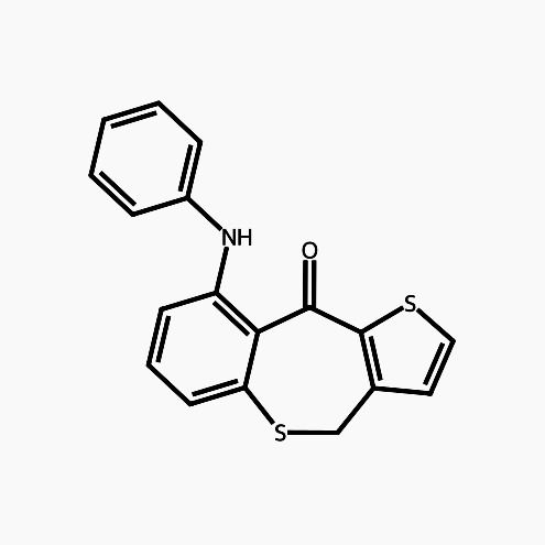 O=C1c2sccc2CSc2cccc(Nc3ccccc3)c21